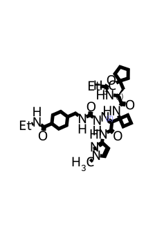 CCNC(=O)C1CCC(CNC(=O)N/N=C(\C(=O)Nc2ccn(C)n2)C2(NC(=O)[C@H](CC3(C)CCCC3)NC(=O)CC)CCC2)CC1